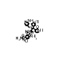 Nc1cc(Cn2c(C(=O)NS(=O)(=O)c3cc(S(N)(=O)=O)c(Cl)cc3N)c(-c3ccc[nH]c3=O)c3cc(Cl)ccc32)ccn1